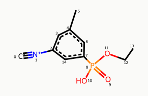 [C-]#[N+]c1cc(C)cc(P(=O)(O)OCC)c1